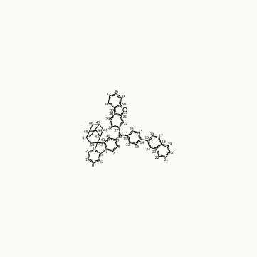 c1ccc2c(c1)-c1ccc(N(c3ccc(-c4ccc5ccccc5c4)cc3)c3ccc4c(c3)oc3ccccc34)cc1C21C2CC3CC(C2)CC1C3